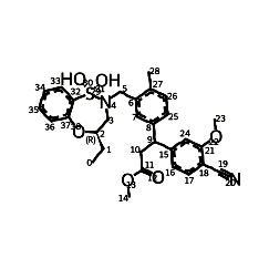 CC[C@@H]1CN(Cc2cc(C(CC(=O)OC)c3ccc(C#N)c(OC)c3)ccc2C)S(O)(O)c2ccccc2O1